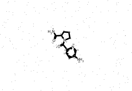 NC(=O)C1CCCN1C(=O)c1ccc(N)cn1